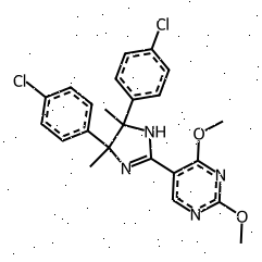 COc1ncc(C2=NC(C)(c3ccc(Cl)cc3)C(C)(c3ccc(Cl)cc3)N2)c(OC)n1